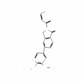 C/C=C\C(=N)N1Cc2cc(-c3cnc(OC)c(OC)c3)ccc2C1=O